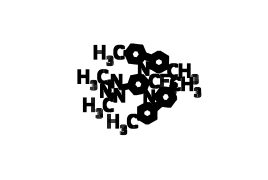 Cc1ccc2c3ccc(C)cc3n(-c3cc(-c4nc(C)nc(C)n4)cc(-n4c5cc(C)ccc5c5ccc(C)cc54)c3C(F)(F)F)c2c1